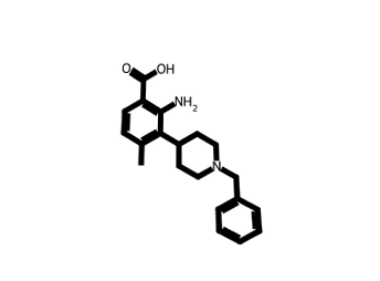 Cc1ccc(C(=O)O)c(N)c1C1CCN(Cc2ccccc2)CC1